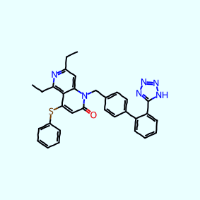 CCc1cc2c(c(Sc3ccccc3)cc(=O)n2Cc2ccc(-c3ccccc3-c3nnn[nH]3)cc2)c(CC)n1